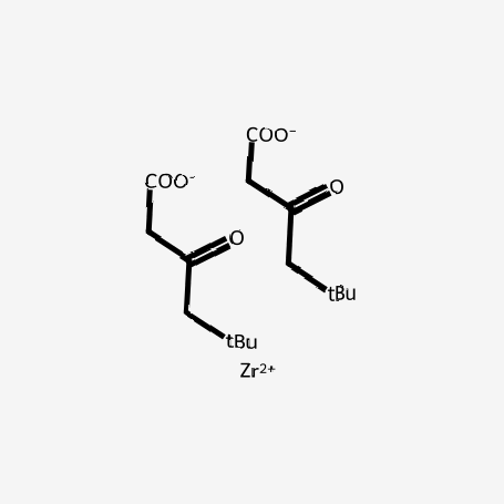 CC(C)(C)CC(=O)CC(=O)[O-].CC(C)(C)CC(=O)CC(=O)[O-].[Zr+2]